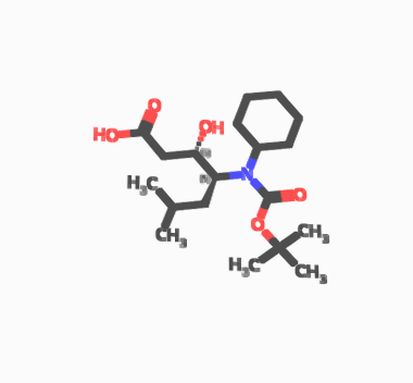 CC(C)C[C@@H]([C@@H](O)CC(=O)O)N(C(=O)OC(C)(C)C)C1CCCCC1